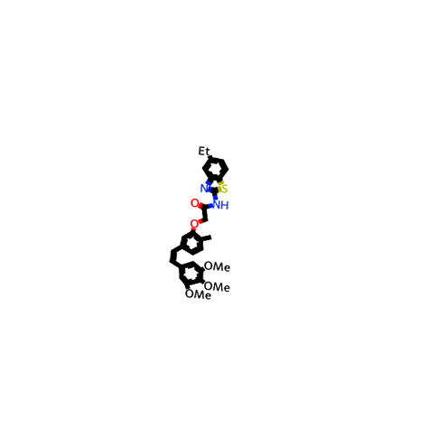 CCc1ccc2sc(NC(=O)COc3cc(/C=C\c4cc(OC)c(OC)c(OC)c4)ccc3C)nc2c1